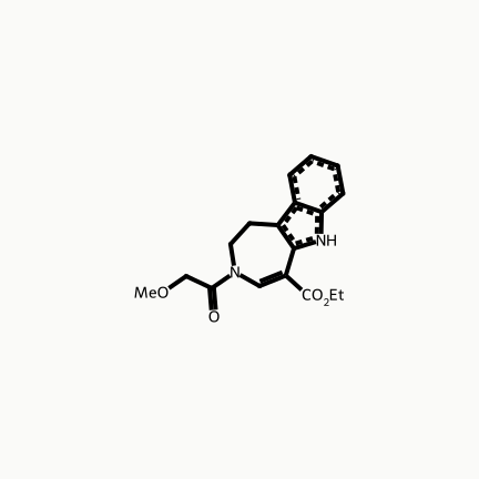 CCOC(=O)C1=CN(C(=O)COC)CCc2c1[nH]c1ccccc21